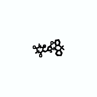 CN1C(=O)C(=Cc2cc3c(s2)N2c4ccccc4C(C)(C)c4cccc(c42)O3)C(=O)N(C)C1=O